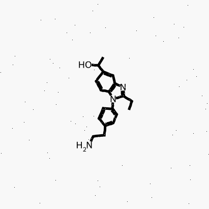 CCc1nc2cc(C(C)O)ccc2n1-c1ccc(CCN)cc1